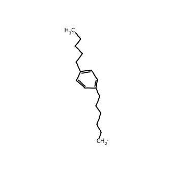 [CH2]CCCCCc1ccc(CCCCC)cc1